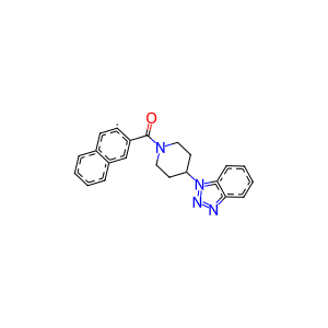 O=C(c1[c]cc2ccccc2c1)N1CCC(n2nnc3ccccc32)CC1